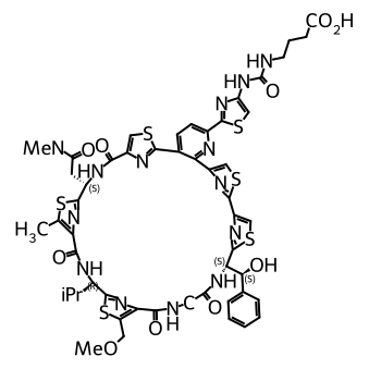 CNC(=O)C[C@@H]1NC(=O)c2csc(n2)-c2ccc(-c3nc(NC(=O)NCCCC(=O)O)cs3)nc2-c2csc(n2)-c2csc(n2)[C@H]([C@@H](O)c2ccccc2)NC(=O)CNC(=O)c2nc(sc2COC)[C@@H](C(C)C)NC(=O)c2nc1sc2C